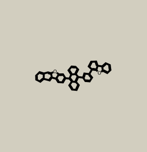 c1cc(-c2c3ccccc3c(-c3ccc4c(c3)oc3cc5ccccc5cc34)c3ccccc23)cc(-c2cccc3c2oc2ccccc23)c1